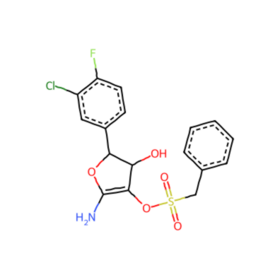 NC1=C(OS(=O)(=O)Cc2ccccc2)C(O)C(c2ccc(F)c(Cl)c2)O1